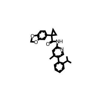 Cc1cc(NC(=O)C2(c3ccc4c(c3)OCO4)CC2)ncc1-c1ccccc1C(C)C